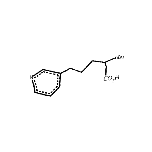 CCCCC(CCCc1cccnc1)C(=O)O